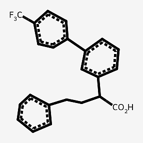 O=C(O)C(CCc1ccccc1)c1cccc(-c2ccc(C(F)(F)F)cc2)c1